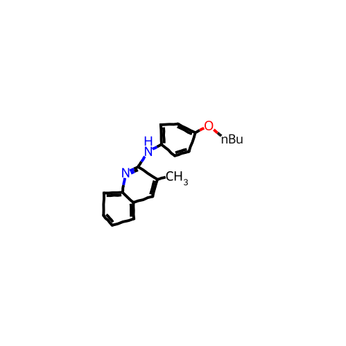 CCCCOc1ccc(Nc2nc3ccccc3cc2C)cc1